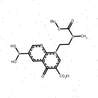 CCOC(=O)c1cn(CCN(C)C(=O)OC(C)(C)C)c2ncc(B(O)O)cc2c1=O